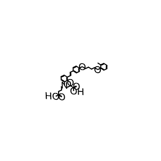 Cc1ccccc1OCCCCOc1ccc(/C=C/c2cccc3c2OC(C(=O)O)CN3CCCC(=O)O)cc1